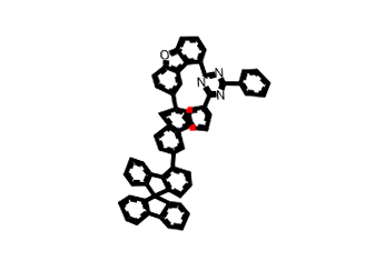 c1ccc(-c2nc(-c3ccccc3)nc(-c3cccc4oc5ccc(-c6ccc7cc(-c8cccc9c8-c8ccccc8C98c9ccccc9-c9ccccc98)ccc7c6)cc5c34)n2)cc1